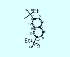 CCC(C)(C)c1ccc2ccc(C(C)(C)CC)cc2c1